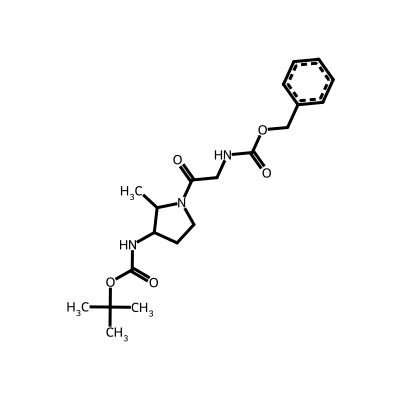 CC1C(NC(=O)OC(C)(C)C)CCN1C(=O)CNC(=O)OCc1ccccc1